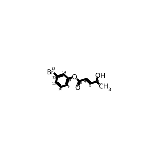 CC(O)C=CC(=O)Oc1cccc(Br)c1